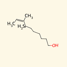 CC=C(C)[SiH2]CCCCCCO